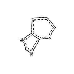 [c]1ccnc2nc[nH]c12